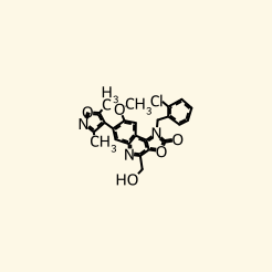 COc1cc2c(cc1-c1c(C)noc1C)nc(CO)c1oc(=O)n(Cc3ccccc3Cl)c12